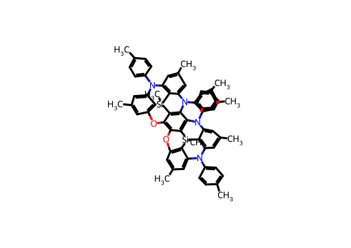 Cc1ccc(N2c3cc(C)cc4c3[Si]3(C)c5c2cc(C)cc5N(c2ccc(C)cc2)c2c5c6c(c(c23)O4)Oc2cc(C)cc3c2[Si]6(C)c2c(cc(C)cc2N5c2ccc(C)cc2)N3c2ccc(C)cc2)cc1